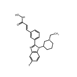 CCN1CCCC(n2c(-c3cccc(/C=C/C(=O)NO)c3)nc3cc(F)ccc32)C1